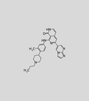 CCCN1CCC(c2ccc(Nc3nc(-c4cnc5nccn5c4)cc4cc[nH]c(=O)c34)cc2C)CC1